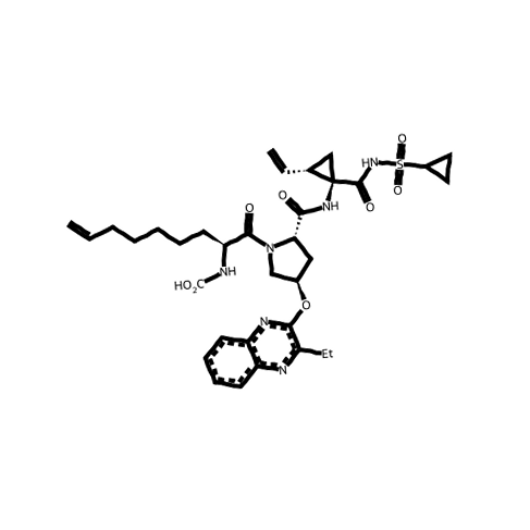 C=CCCCCC[C@H](NC(=O)O)C(=O)N1C[C@H](Oc2nc3ccccc3nc2CC)C[C@H]1C(=O)N[C@]1(C(=O)NS(=O)(=O)C2CC2)C[C@H]1C=C